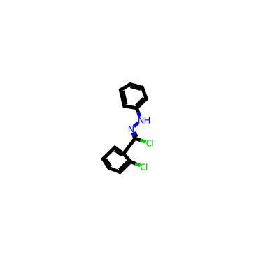 ClC(=NNc1ccccc1)c1ccccc1Cl